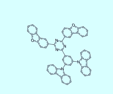 c1ccc2c(c1)oc1ccc(-c3nc(-c4cc(-n5c6ccccc6c6ccccc65)cc(-n5c6ccccc6c6ccccc65)c4)nc(-c4ccc5oc6ccccc6c5c4)n3)cc12